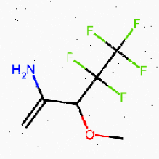 C=C(N)C(OC)C(F)(F)C(F)(F)F